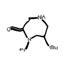 CC(C)N1C(=O)CNCC1C(C)(C)C